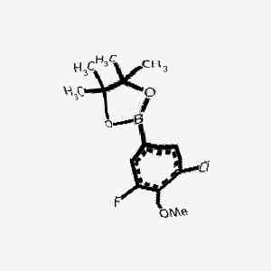 COc1c(F)cc(B2OC(C)(C)C(C)(C)O2)cc1Cl